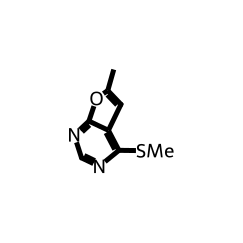 CSc1ncnc2oc(C)cc12